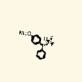 COc1ccc([I+]c2ccccc2)cc1.[O]=[Sb]([F])([F])[F]